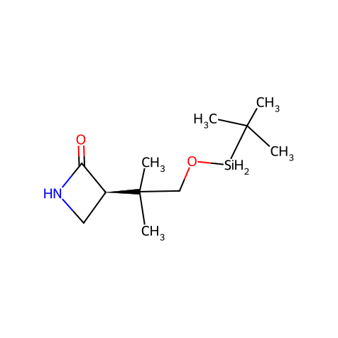 CC(C)(C)[SiH2]OCC(C)(C)[C@H]1CNC1=O